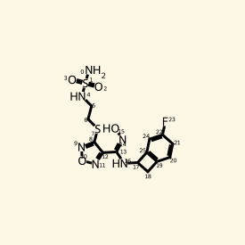 NS(=O)(=O)NCCSc1nonc1C(=NO)NC1Cc2ccc(F)cc21